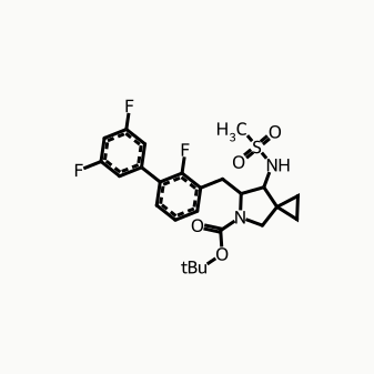 CC(C)(C)OC(=O)N1CC2(CC2)C(NS(C)(=O)=O)C1Cc1cccc(-c2cc(F)cc(F)c2)c1F